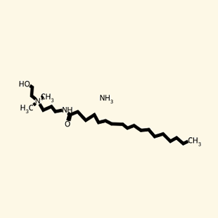 CCCCCCCCCCCCCCCCCC(=O)NCCC[N+](C)(C)CCO.N